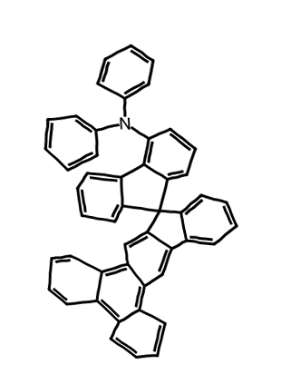 c1ccc(N(c2ccccc2)c2cccc3c2-c2ccccc2C32c3ccccc3-c3cc4c5ccccc5c5ccccc5c4cc32)cc1